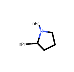 CCC[C]1CCCN1CCC